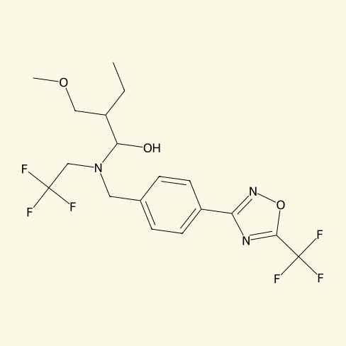 CCC(COC)C(O)N(Cc1ccc(-c2noc(C(F)(F)F)n2)cc1)CC(F)(F)F